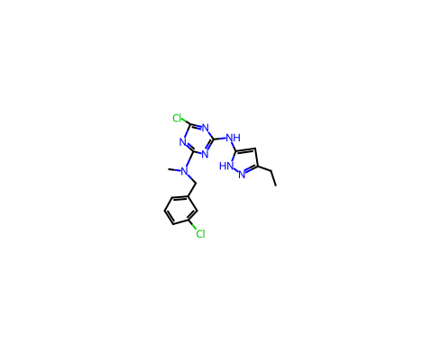 CCc1cc(Nc2nc(Cl)nc(N(C)Cc3cccc(Cl)c3)n2)[nH]n1